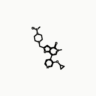 Cn1cc(-c2ccncc2OC2CC2)c2oc(CN3CCN([S+](C)[O-])CC3)cc2c1=O